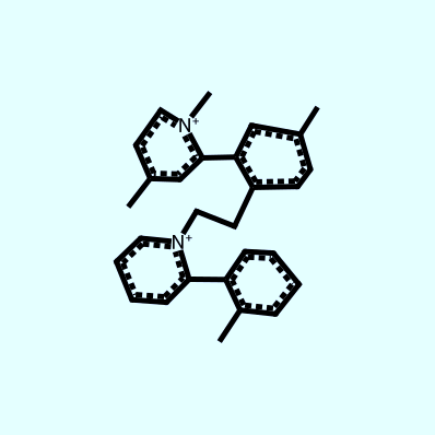 Cc1ccc(CC[n+]2ccccc2-c2ccccc2C)c(-c2cc(C)cc[n+]2C)c1